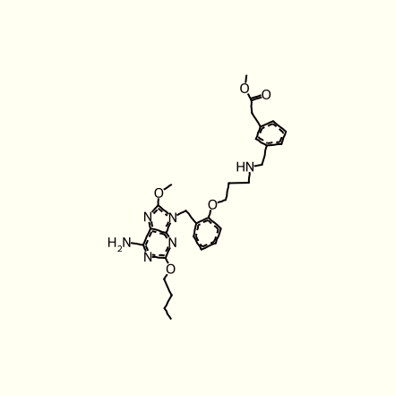 CCCCOc1nc(N)c2nc(OC)n(Cc3ccccc3OCCCNCc3cccc(CC(=O)OC)c3)c2n1